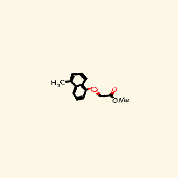 COC(=O)COc1cccc2c(C)cccc12